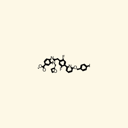 COC(=O)c1ccc2nc(Cc3cc(F)c(-c4cccc(OCc5ccc(I)cc5)n4)cc3F)n(C[C@@H]3CCO3)c2c1